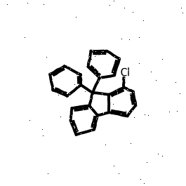 Clc1cccc2c1C(c1ccccc1)(c1ccccc1)c1ccccc1-2